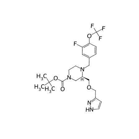 CC(C)(C)OC(=O)N1CCN(Cc2ccc(OC(F)(F)F)c(F)c2)[C@@H](COCc2cc[nH]n2)C1